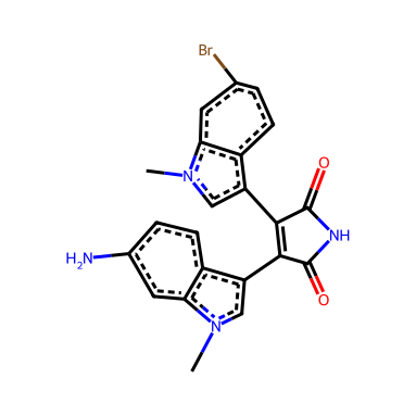 Cn1cc(C2=C(c3cn(C)c4cc(Br)ccc34)C(=O)NC2=O)c2ccc(N)cc21